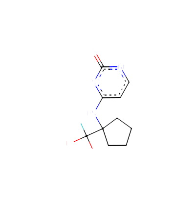 O=c1nc(NC2(C(O)(O)F)CCCC2)cc[nH]1